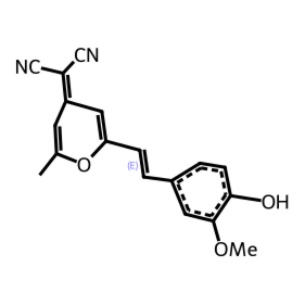 COc1cc(/C=C/C2=CC(=C(C#N)C#N)C=C(C)O2)ccc1O